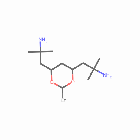 CCC1OC(CC(C)(C)N)CC(CC(C)(C)N)O1